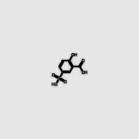 O=C(O)c1cc(S(=O)(=O)O)c[c]c1O